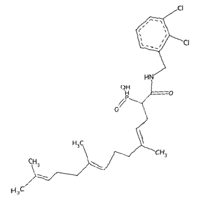 CC(C)=CCC/C(C)=C/CC/C(C)=C/CC(C(=O)NCc1cccc(Cl)c1Cl)[PH](=O)O